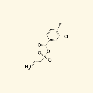 C=CCS(=O)(=O)OC(=O)c1ccc(F)c(Cl)c1